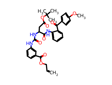 C=CCOC(=O)c1cccc(NC(=O)NC(CC(=O)OC(C)(C)C)C(=O)Nc2ccccc2C(=O)c2ccc(OC)cc2)c1